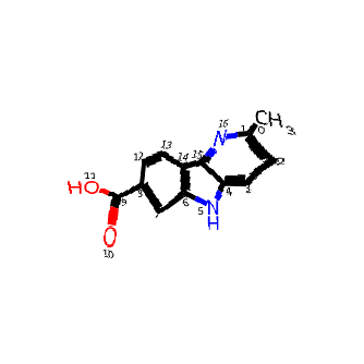 Cc1ccc2[nH]c3cc(C(=O)O)ccc3c2n1